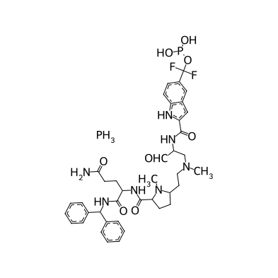 CN(CCC1CCC(C(=O)NC(CCC(N)=O)C(=O)NC(c2ccccc2)c2ccccc2)N1C)CC(C=O)NC(=O)c1cc2cc(C(F)(F)OP(O)O)ccc2[nH]1.P